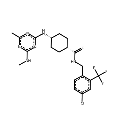 CNc1nc(C)nc(N[C@H]2CC[C@@H](C(=O)NCc3ccc(Cl)cc3C(F)(F)F)CC2)n1